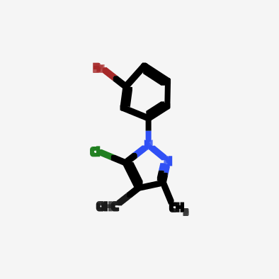 Cc1nn(-c2cccc(Br)c2)c(Cl)c1C=O